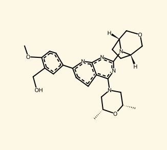 COc1ccc(-c2ccc3c(N4C[C@@H](C)O[C@@H](C)C4)nc(N4[C@@H]5CC[C@H]4COC5)nc3n2)cc1CO